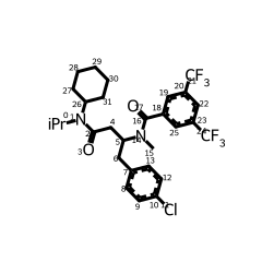 CC(C)N(C(=O)CC(Cc1ccc(Cl)cc1)N(C)C(=O)c1cc(C(F)(F)F)cc(C(F)(F)F)c1)C1CCCCC1